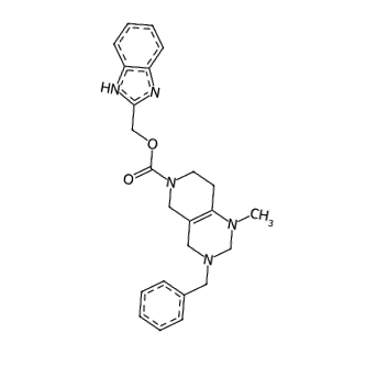 CN1CN(Cc2ccccc2)CC2=C1CCN(C(=O)OCc1nc3ccccc3[nH]1)C2